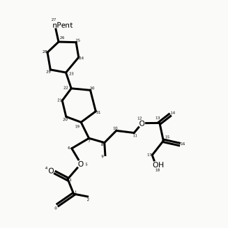 C=C(C)C(=O)OCC(C(C)CCOC(=C)C(=C)CO)C1CCC(C2CCC(CCCCC)CC2)CC1